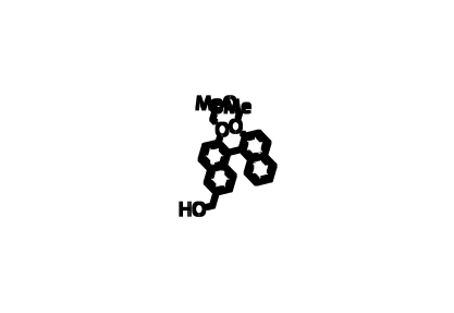 COCOc1ccc2ccccc2c1-c1c(OCOC)ccc2cc(CO)ccc12